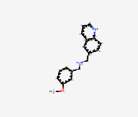 COc1cccc(CNCc2ccc3ncccc3c2)c1